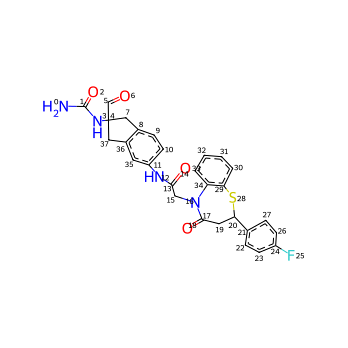 NC(=O)NC1(C=O)Cc2ccc(NC(=O)CN3C(=O)CC(c4ccc(F)cc4)Sc4ccccc43)cc2C1